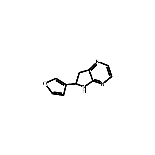 c1cnc2c(n1)CC(c1ccoc1)N2